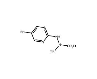 CCOC(=O)N(Nc1ncc(Br)cn1)C(C)(C)C